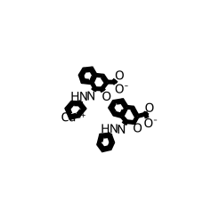 O=C([O-])C1=Cc2ccccc2/C(=N\Nc2ccccc2)C1=O.O=C([O-])C1=Cc2ccccc2/C(=N\Nc2ccccc2)C1=O.[Ca+2]